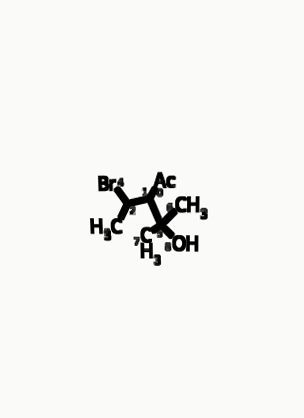 CC(=O)C(C(C)Br)C(C)(C)O